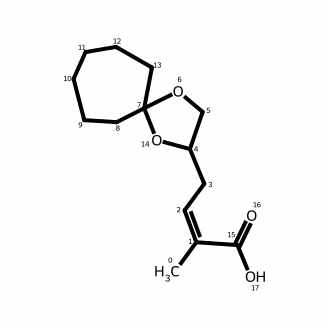 CC(=CCC1COC2(CCCCCC2)O1)C(=O)O